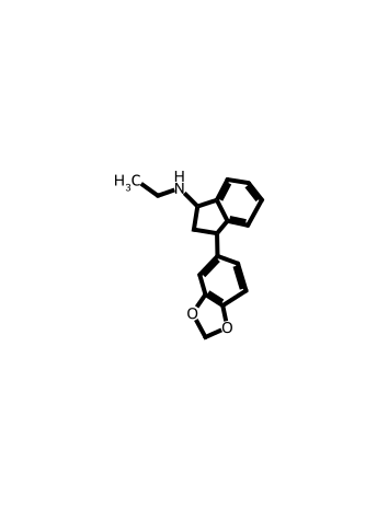 CCNC1CC(c2ccc3c(c2)OCO3)c2ccccc21